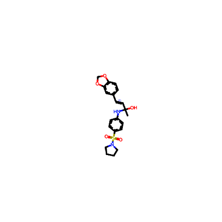 CC(O)(/C=C/c1ccc2c(c1)OCO2)Nc1ccc(S(=O)(=O)N2CCCC2)cc1